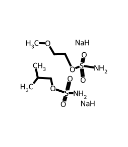 CC(C)COS(N)(=O)=O.COCCOS(N)(=O)=O.[NaH].[NaH]